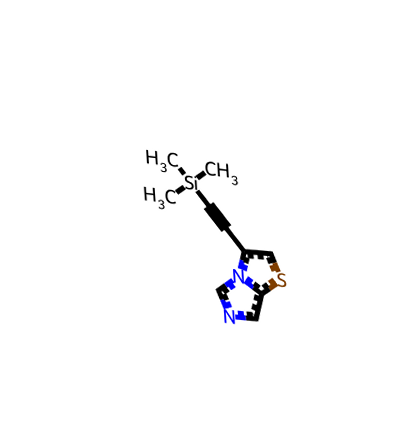 C[Si](C)(C)C#Cc1csc2cncn12